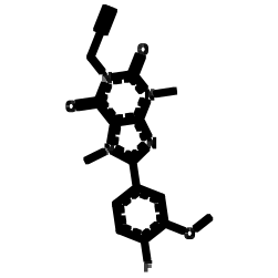 C#CCn1c(=O)c2c(nc(-c3ccc(F)c(OC)c3)n2C)n(C)c1=O